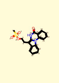 CS(=O)(=O)OCCc1c2ccccc2n2c1[nH]c(=O)c1ccccc12